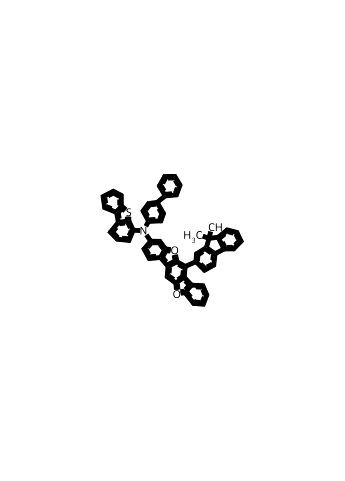 CC1(C)c2ccccc2-c2ccc(-c3c4oc5cc(N(c6ccc(-c7ccccc7)cc6)c6cccc7c6sc6ccccc67)ccc5c4cc4oc5ccccc5c34)cc21